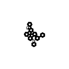 c1ccc(-c2ccc(N(c3ccccc3)c3cccc4c3-c3ccccc3C43c4ccccc4-c4c3ccc3c4oc4ccccc43)cc2)cc1